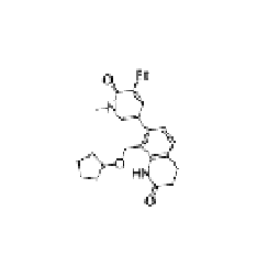 CCc1cc(-c2ccc3c(c2COC2CCCC2)NC(=O)CC3)cn(C)c1=O